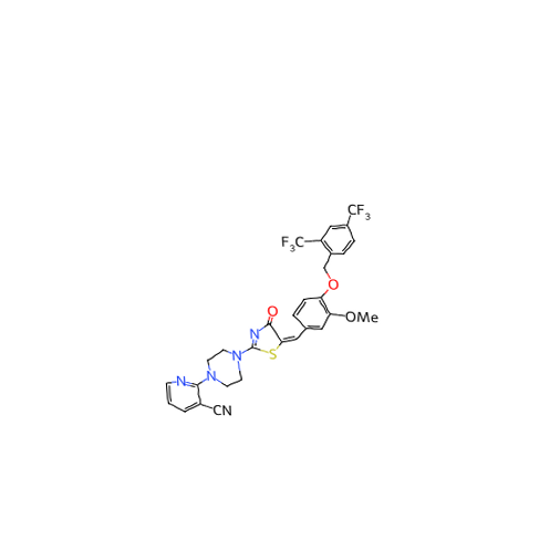 COc1cc(/C=C2/SC(N3CCN(c4ncccc4C#N)CC3)=NC2=O)ccc1OCc1ccc(C(F)(F)F)cc1C(F)(F)F